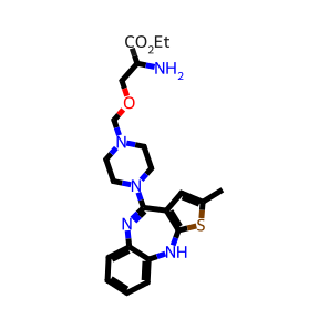 CCOC(=O)C(N)COCN1CCN(C2=Nc3ccccc3Nc3sc(C)cc32)CC1